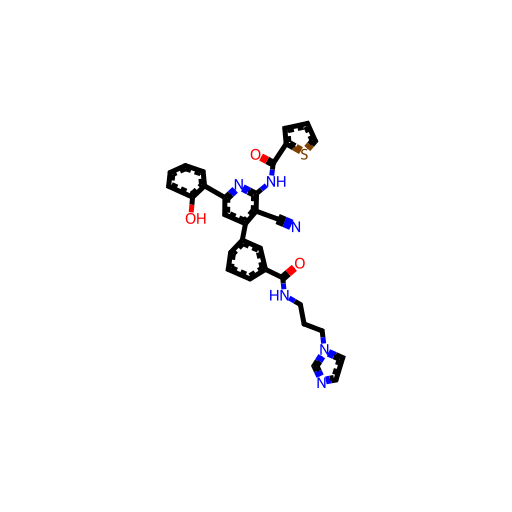 N#Cc1c(-c2cccc(C(=O)NCCCn3ccnc3)c2)cc(-c2ccccc2O)nc1NC(=O)c1cccs1